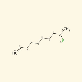 [CH]=CCCCCCCC(C)F